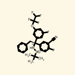 CC(C)(C)[S+]([O-])N[C@](Cc1ccccc1)(c1cc(F)cc(OC(F)(F)C(F)F)c1)c1ccc(F)c(C#N)c1